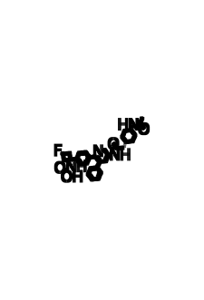 CC(=O)N[C@H]1CC[C@H](CC(=O)Nc2cnc(-c3ccc(C4(NC(=O)O)CC(F)C4)cc3)c(-c3ccccc3)c2)CC1